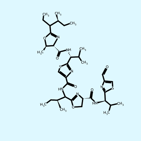 CCC(C1=N[C@H](C(=O)N[C@@H](c2nc(C(=O)NC(C3=N[C@H](C(=O)N[C@@H](c4nc(C=O)cs4)C(C)C)CO3)[C@@H](C)CC)cs2)C(C)C)[C@@H](C)O1)[C@@H](C)CC